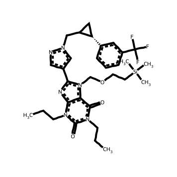 CCCn1c(=O)c2c(nc(-c3cnn(CC4C[C@@H]4c4cccc(C(F)(F)F)c4)c3)n2COCC[Si](C)(C)C)n(CCC)c1=O